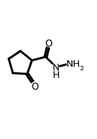 NNC(=O)C1CCCC1=O